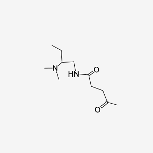 CCC(CNC(=O)CCC(C)=O)N(C)C